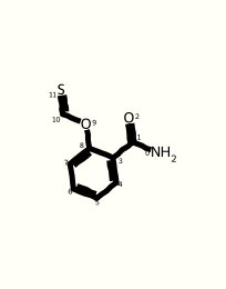 NC(=O)c1ccccc1OC=S